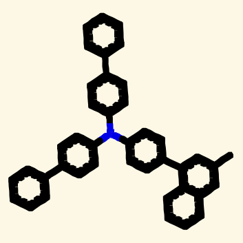 Cc1cc(-c2ccc(N(c3ccc(-c4ccccc4)cc3)c3ccc(-c4ccccc4)cc3)cc2)c2ccccc2c1